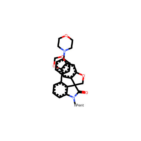 CCCCCN1C(=O)C2(COc3cc4c(cc32)OCO4)c2c(-c3ccc(N4CCOCC4)cc3)cccc21